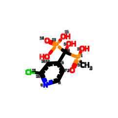 CP(=O)(O)C(O)(c1ccnc(Cl)c1)P(=O)(O)O